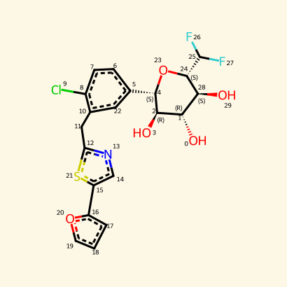 O[C@@H]1[C@@H](O)[C@H](c2ccc(Cl)c(Cc3ncc(-c4ccco4)s3)c2)O[C@H](C(F)F)[C@H]1O